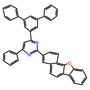 c1ccc(-c2cc(-c3ccccc3)cc(-c3cc(-c4ccccc4)nc(-c4ccc5c(ccc6c7ccccc7oc56)c4)n3)c2)cc1